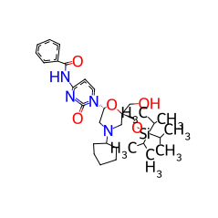 CC(C)[Si](OC[C@@]1(CO)CN(C2CCCCC2)C[C@H](n2ccc(NC(=O)c3ccccc3)nc2=O)O1)(C(C)C)C(C)C